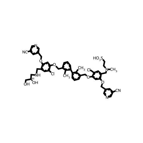 Cc1c(COc2cc(OCc3cncc(C#N)c3)c(CNC[C@@H](O)CO)cc2Cl)cccc1-c1cccc(COc2cc(OCc3cncc(C#N)c3)c(CN(C)CCS(=O)(=O)O)cc2Cl)c1C